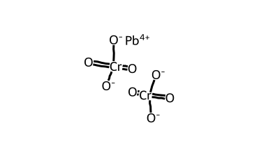 [O]=[Cr](=[O])([O-])[O-].[O]=[Cr](=[O])([O-])[O-].[Pb+4]